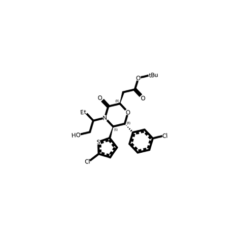 CCC(CO)N1C(=O)[C@@H](CC(=O)OC(C)(C)C)O[C@H](c2cccc(Cl)c2)[C@H]1c1ccc(Cl)s1